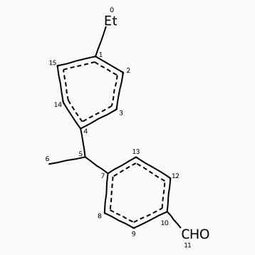 CCc1ccc(C(C)c2ccc(C=O)cc2)cc1